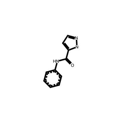 O=C(Nc1ccccc1)C1=CC=N[N]1